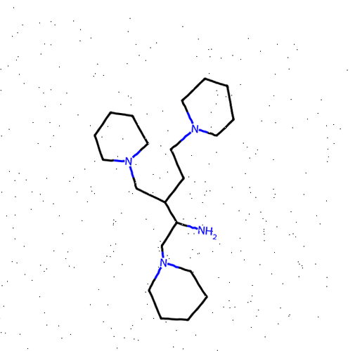 NC(CN1CCCCC1)C(CCN1CCCCC1)CN1CCCCC1